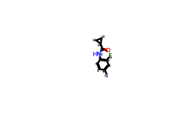 O=C(Nc1ccc(I)cc1F)C1CC1